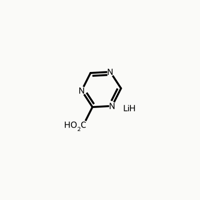 O=C(O)c1ncncn1.[LiH]